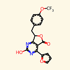 O=C1OC(Cc2ccc(OC(F)(F)F)cc2)c2nc(O)nc(-c3ccco3)c21